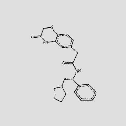 O=C1CSc2ccc(CC(=O)N[C@H](CN3CCCC3)c3ccccc3)cc2N1